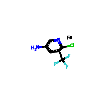 Nc1cnc(Cl)c(C(F)(F)F)c1.[Fe]